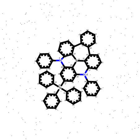 c1ccc(N2c3cccc4c3B3c5c(cccc5N(c5ccccc5)c5cc([Si](c6ccccc6)(c6ccccc6)c6ccccc6)cc2c53)-c2ccccc2-4)cc1